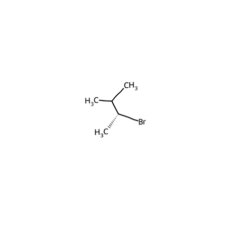 CC(C)[C@@H](C)Br